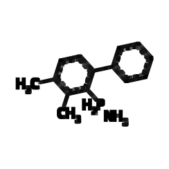 Cc1ccc(-c2ccccc2)c(P)c1C.N